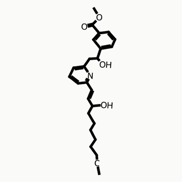 CCCCCCCCC(O)C=Cc1cccc(CC(O)c2cccc(C(=O)OC)c2)n1